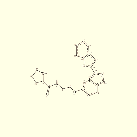 O=C(NCCOc1ccc2ncc(-c3cc4ccccc4o3)n2n1)C1CCCO1